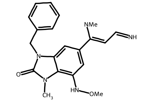 CN/C(=C\C=N)c1cc(NOC)c2c(c1)n(Cc1ccccc1)c(=O)n2C